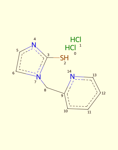 Cl.Cl.Sc1nccn1Cc1ccccn1